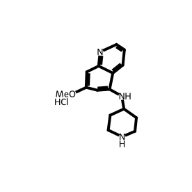 COc1cc(NC2CCNCC2)c2cccnc2c1.Cl